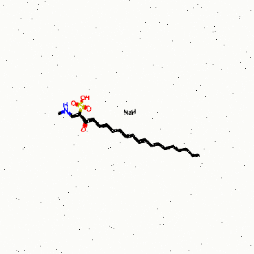 CCCCCCCCC=CCCCCCCCC(=O)C(CNC)S(=O)(=O)O.[NaH]